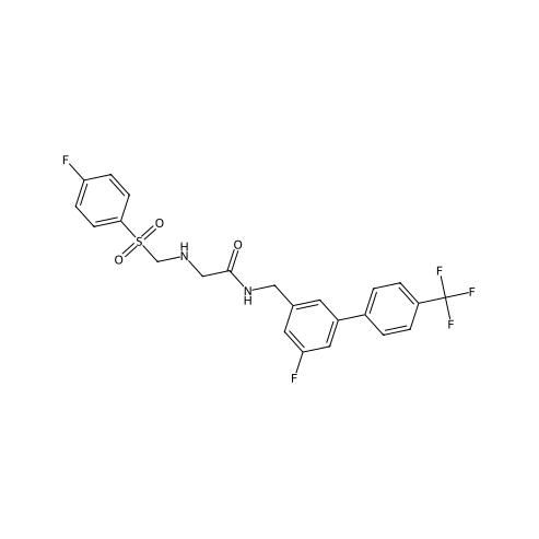 O=C(CNCS(=O)(=O)c1ccc(F)cc1)NCc1cc(F)cc(-c2ccc(C(F)(F)F)cc2)c1